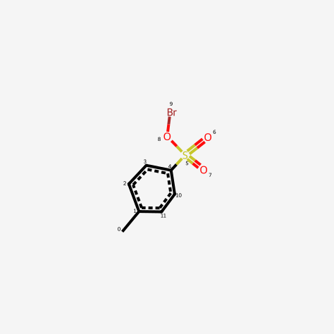 Cc1ccc(S(=O)(=O)OBr)cc1